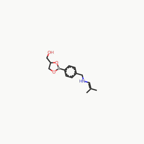 CC(C)=CNCc1ccc(B2OCC(CO)O2)cc1